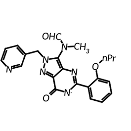 CCCOc1ccccc1C1=Nc2c(nn(Cc3cccnc3)c2N(C)C=O)C(=O)[N]1